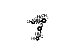 COc1cccc2c1c(NS(=O)(=O)c1ccc(Cl)s1)nn2Cc1cccc(CNC(=O)c2cc[nH]c2)c1